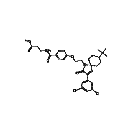 CC(C)(C)C1CCC2(CC1)N=C(c1cc(Cl)cc(Cl)c1)C(=O)N2CCOc1ccc(C(=O)NCCC(=O)O)cc1